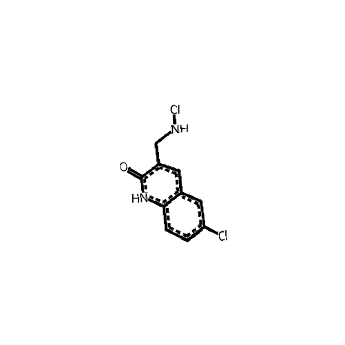 O=c1[nH]c2ccc(Cl)cc2cc1CNCl